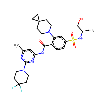 Cc1cc(NC(=O)c2ccc(S(=O)(=O)N[C@@H](C)CO)cc2N2CCC3(CC2)CC3)nc(N2CCC(F)(F)CC2)n1